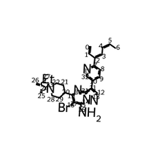 C=C/C(=C\C=C/C)c1ccc(-c2cnn3c(N)c(Br)c(C4CCN(S(=C)(=C)CC)CC4)nc23)cn1